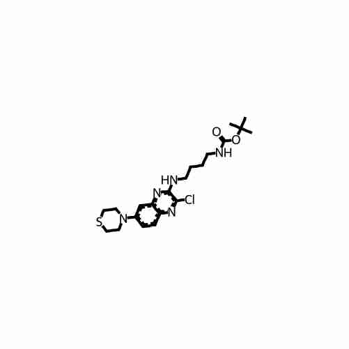 CC(C)(C)OC(=O)NCCCCNc1nc2cc(N3CCSCC3)ccc2nc1Cl